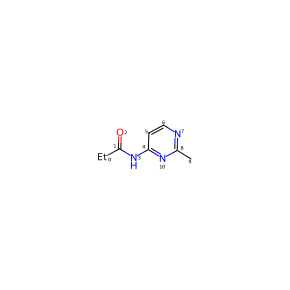 CCC(=O)Nc1ccnc(C)n1